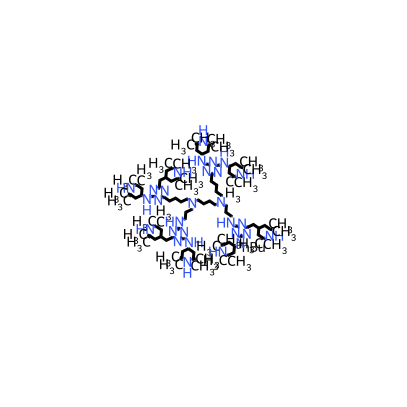 CCCCN(c1nc(CC2CC(C)(C)NC(C)(C)C2)nc(NCCCN(CCCCc2nc(NC3CC(C)(C)NC(C)(C)C3)nc(NC3CC(C)(C)NC(C)(C)C3)n2)CCCCN(CCCCc2nc(CC3CC(C)(C)NC(C)(C)C3)nc(NC3CC(C)(C)NC(C)(C)C3)n2)CCCNc2nc(CC3CC(C)(C)NC(C)(C)C3)nc(NC3CC(C)(C)NC(C)(C)C3)n2)n1)C1CC(C)(C)NC(C)(C)C1